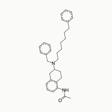 CC(=O)Nc1cccc2c1CCC(N(CCCCCCCc1ccccc1)Cc1ccccc1)C2